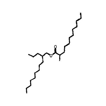 CCCCCCCCCCC(C)C(=O)OCC(CCC)CCCCCCCCC